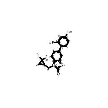 O=c1sc2cc(-c3ccc(F)cc3F)ccc2n1CC1CC1(F)F